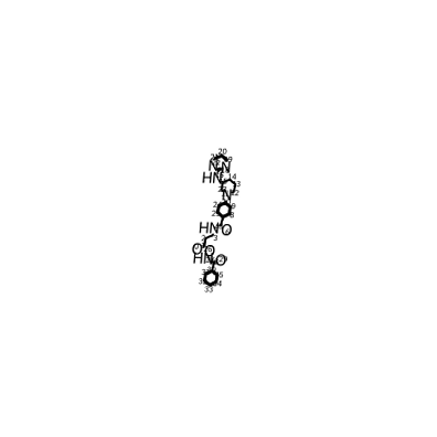 O=C(CCNC(=O)c1ccc(N2CCC[C@H](Nc3ncccn3)C2)cc1)ONC(=O)c1ccccc1